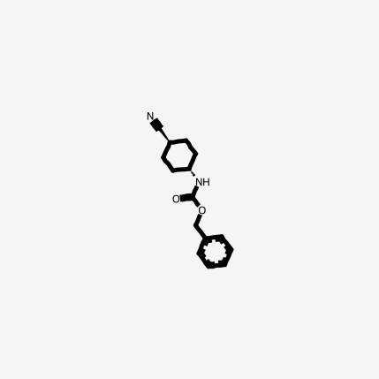 N#C[C@H]1CC[C@H](NC(=O)OCc2ccccc2)CC1